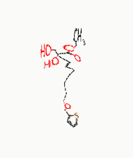 CCOC(=O)C(O)(CO)CCCCCCOCc1cccs1